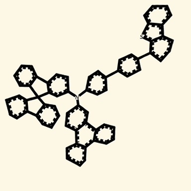 c1ccc2c(c1)-c1ccccc1C21c2ccccc2-c2ccc(N(c3ccc(-c4ccc(-c5cccc6c5sc5ccccc56)cc4)cc3)c3ccc4c5ccccc5c5ccccc5c4c3)cc21